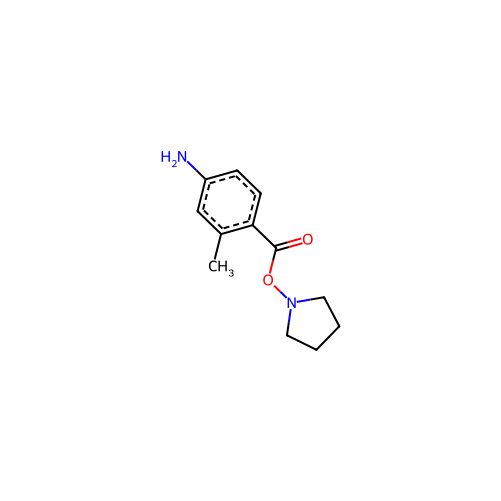 Cc1cc(N)ccc1C(=O)ON1CCCC1